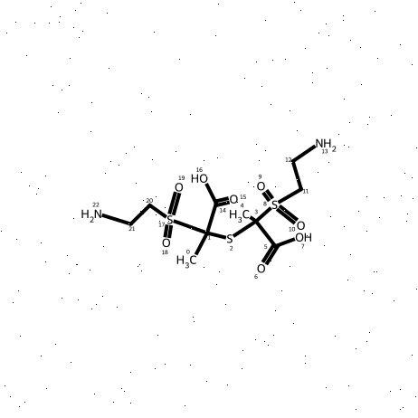 CC(SC(C)(C(=O)O)S(=O)(=O)CCN)(C(=O)O)S(=O)(=O)CCN